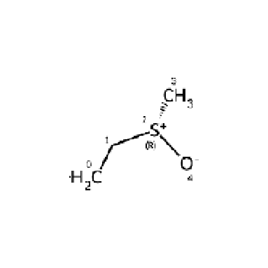 [CH2]C[S@+](C)[O-]